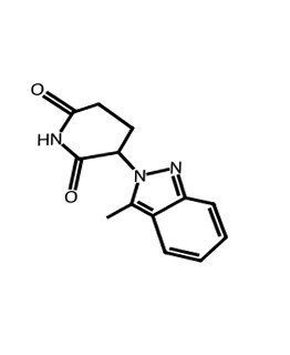 Cc1c2ccccc2nn1C1CCC(=O)NC1=O